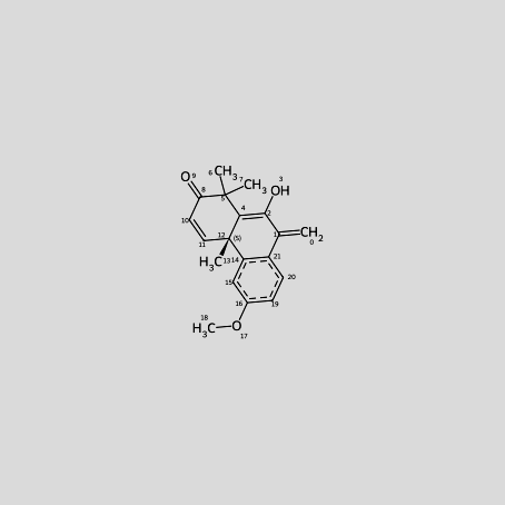 C=C1C(O)=C2C(C)(C)C(=O)C=C[C@@]2(C)c2cc(OC)ccc21